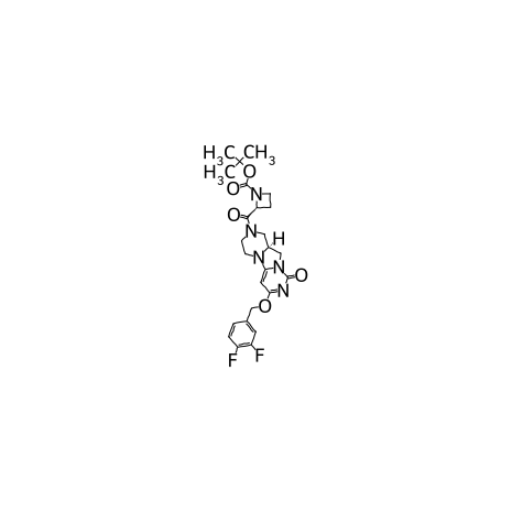 CC(C)(C)OC(=O)N1CC[C@H]1C(=O)N1CCN2c3cc(OCc4ccc(F)c(F)c4)nc(=O)n3C[C@@H]2C1